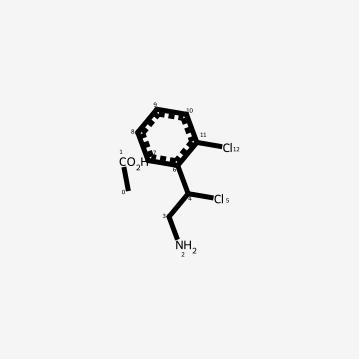 CC(=O)O.NCC(Cl)c1ccccc1Cl